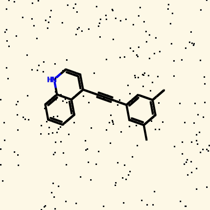 Cc1cc(C)cc(C#CC2=C=CNc3ccccc32)c1